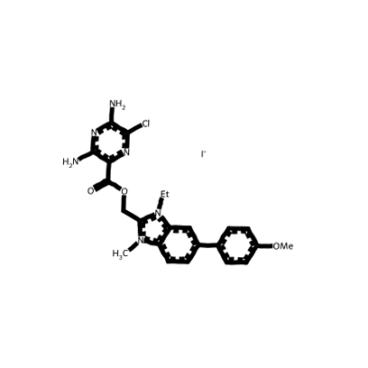 CCn1c(COC(=O)c2nc(Cl)c(N)nc2N)[n+](C)c2ccc(-c3ccc(OC)cc3)cc21.[I-]